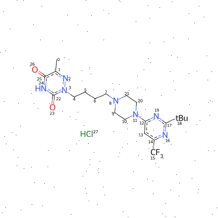 Cc1nn(CCCCN2CCN(c3cc(C(F)(F)F)nc(C(C)(C)C)n3)CC2)c(=O)[nH]c1=O.Cl